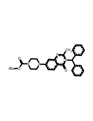 Cc1nc2cc(N3CCN(C(=O)OC(C)(C)C)CC3)ccc2c(=O)n1C(c1ccccc1)c1ccccc1